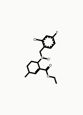 CCOC(=O)C1=CC(C)CCC1[S+]([O-])Cc1ccc(F)cc1Cl